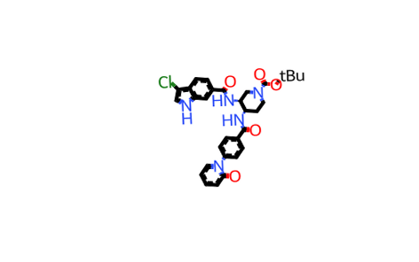 CC(C)(C)OC(=O)N1CC[C@@H](NC(=O)c2ccc(-n3ccccc3=O)cc2)[C@@H](NC(=O)c2ccc3c(Cl)c[nH]c3c2)C1